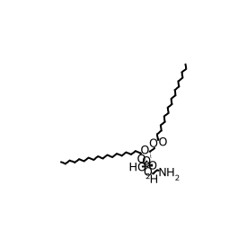 [2H]C(CN)OP(=O)(O)OC[C@@H](COC(=O)CCCCCCCCCCCCCCCCC)OC(=O)CCCCCCCCCCCCCCCCC